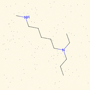 CCCN(CC)CCCCCNC